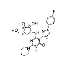 O=c1[nH]c(N2CCCCC2)nc(NC2C[C@H](CO)[C@@H](O)[C@H]2O)c1-c1nc(-c2ccc(F)cc2)cs1